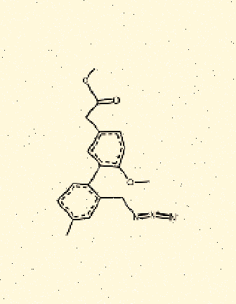 COC(=O)Cc1ccc(OC)c(-c2ccc(C)cc2CN=[N+]=[N-])c1